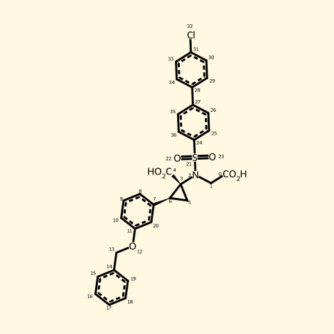 O=C(O)CN([C@]1(C(=O)O)C[C@H]1c1cccc(OCc2ccccc2)c1)S(=O)(=O)c1ccc(-c2ccc(Cl)cc2)cc1